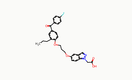 CCCc1cc(C(=O)c2ccc(F)cc2)ccc1OCCCOc1ccc2c(cnn2CC(=O)O)c1